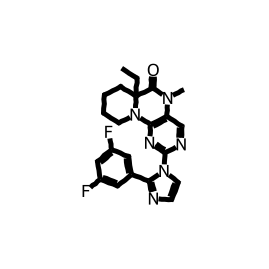 CCC12CCCCN1c1nc(-n3ccnc3-c3cc(F)cc(F)c3)ncc1N(C)C2=O